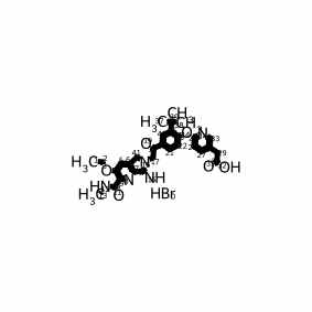 Br.CCOc1cc2c(nc1C(=O)NC)C(=N)N(CC(=O)c1ccc(Oc3ccc(CC(=O)O)cn3)c(C(C)(C)C)c1)C2